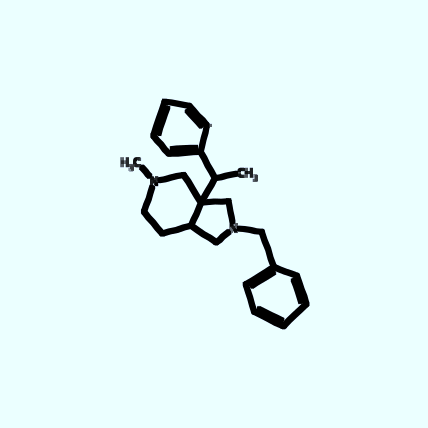 CC(c1[c]cccc1)C12CN(C)CCC1CN(Cc1ccccc1)C2